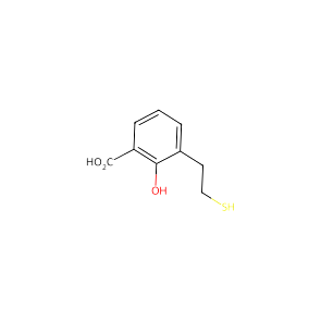 O=C(O)c1cccc(CCS)c1O